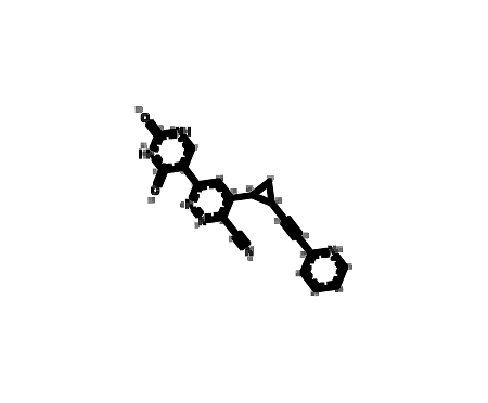 N#Cc1nnc(-c2c[nH]c(=O)[nH]c2=O)cc1C1CC1C#Cc1ccccn1